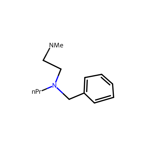 CCCN(CCNC)Cc1ccccc1